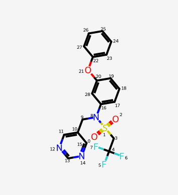 O=S(=O)(CC(F)(F)F)N(Cc1cncnc1)c1cccc(Oc2ccccc2)c1